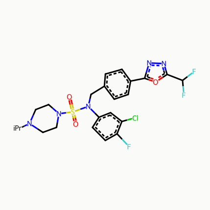 CC(C)N1CCN(S(=O)(=O)N(Cc2ccc(-c3nnc(C(F)F)o3)cc2)c2ccc(F)c(Cl)c2)CC1